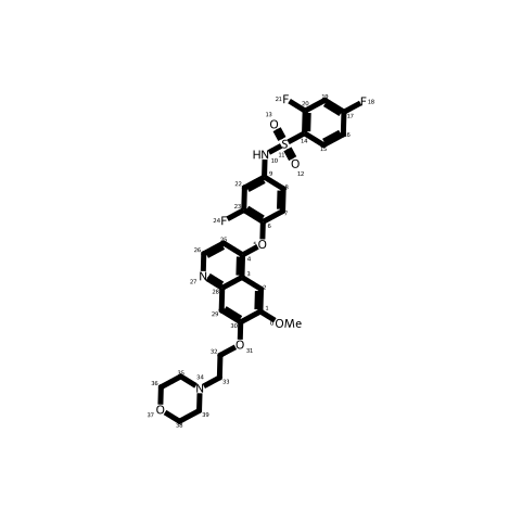 COc1cc2c(Oc3ccc(NS(=O)(=O)c4ccc(F)cc4F)cc3F)ccnc2cc1OCCN1CCOCC1